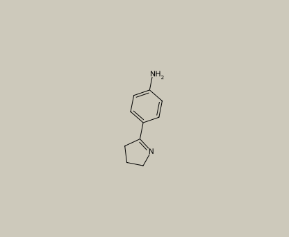 Nc1ccc(C2=NCCC2)cc1